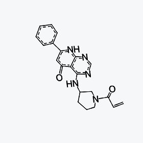 C=CC(=O)N1CCCC(Nc2ncnc3[nH]c(-c4ccccc4)cc(=O)c23)C1